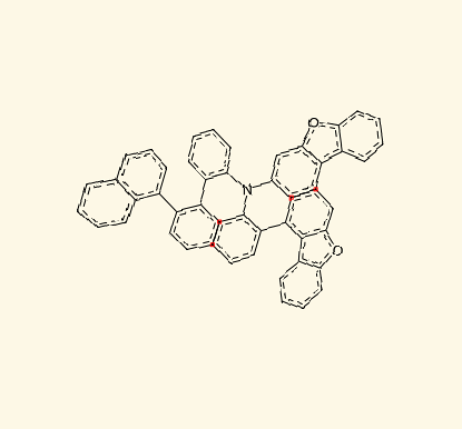 c1ccc(-c2cccc3ccccc23)c(-c2ccccc2N(c2ccc3c(c2)oc2ccccc23)c2ccccc2-c2cccc3oc4ccccc4c23)c1